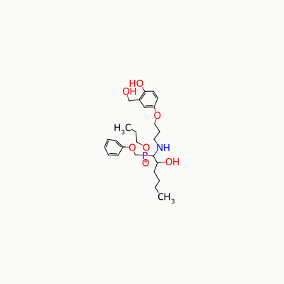 CCCCC(O)C(NCCCOc1ccc(O)c(CO)c1)P(=O)(COc1ccccc1)OCCC